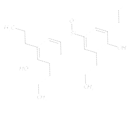 CCCc1cc([S+]([O-])c2cc(CCC)c(O)c(CCC)c2)cc(CCC)c1O